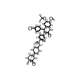 COc1cc2c(cc1OC(C)C)C(c1ccc(Cl)cc1)N(c1ccc(N(C)CC3CCC(N4CCN(C)C(=O)C4)CC3)nc1)C(=O)C2